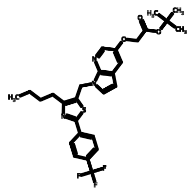 CCCCc1nc(-c2ccc(C(F)(F)F)cc2)sc1Cn1ccc2cc(OCC(=O)OC(C)(C)C)cnc21